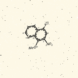 COc1c([N+](=O)[O-])cc(Cl)c2cccnc12